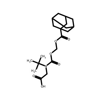 CC(C)(C)N(CC(=O)O)C(=O)OCOC(=O)C12CC3CC(CC(C3)C1)C2